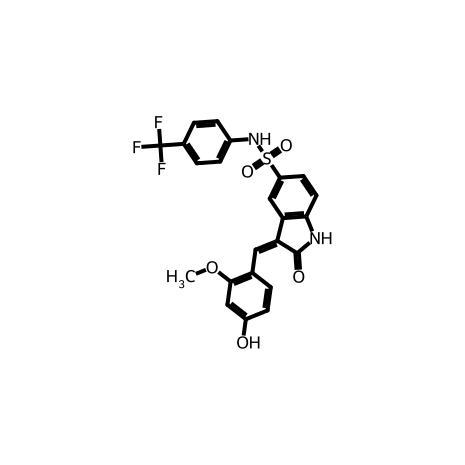 COc1cc(O)ccc1C=C1C(=O)Nc2ccc(S(=O)(=O)Nc3ccc(C(F)(F)F)cc3)cc21